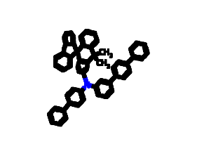 CC1(C)c2ccccc2C2(c3ccccc3-c3ccccc32)c2ccc(N(c3ccc(-c4ccccc4)cc3)c3cccc(-c4ccc(-c5ccccc5)cc4)c3)cc21